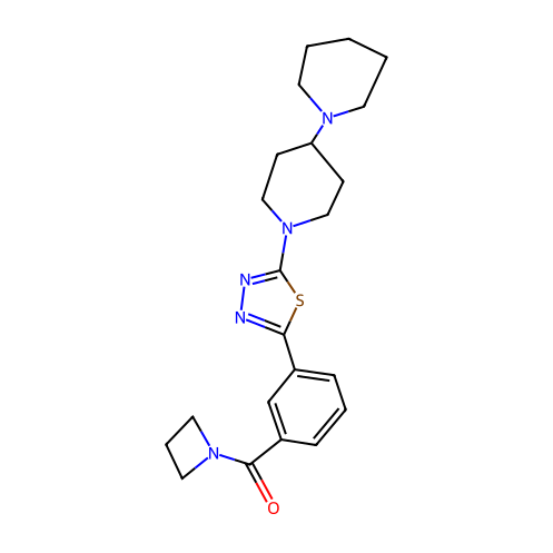 O=C(c1cccc(-c2nnc(N3CCC(N4CCCCC4)CC3)s2)c1)N1CCC1